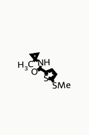 CSc1ccc(C(=O)NC2(C)CC2)s1